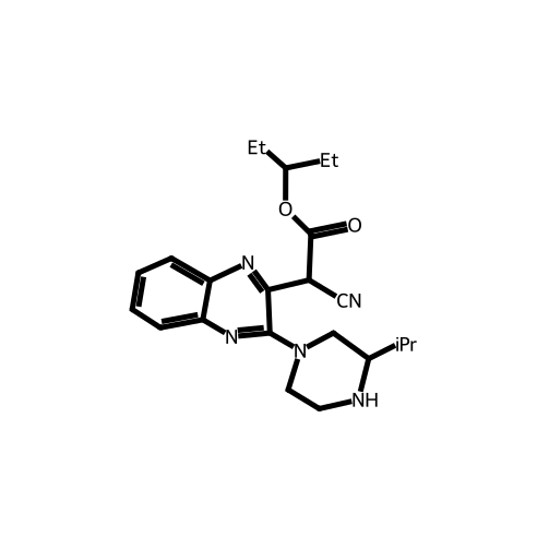 CCC(CC)OC(=O)C(C#N)c1nc2ccccc2nc1N1CCNC(C(C)C)C1